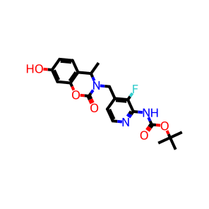 CC1c2ccc(O)cc2OC(=O)N1Cc1ccnc(NC(=O)OC(C)(C)C)c1F